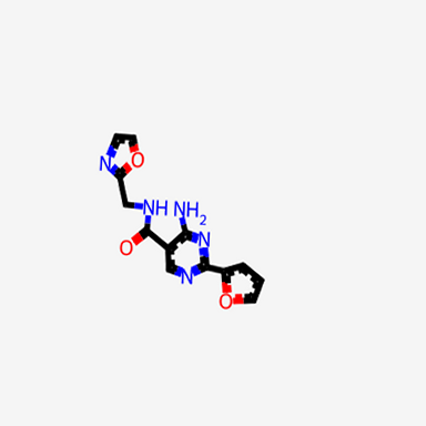 Nc1nc(-c2ccco2)ncc1C(=O)NCc1ncco1